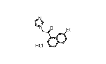 CCc1ccc2cccc(C(=O)Cn3ccnc3)c2c1.Cl